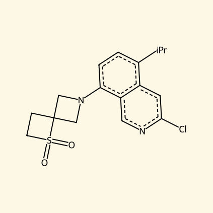 CC(C)c1ccc(N2CC3(CCS3(=O)=O)C2)c2cnc(Cl)cc12